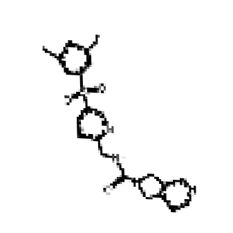 Cc1cc(F)cc(S(=O)(=O)c2ccc(CNC(=O)N3Cc4ccncc4C3)nc2)c1